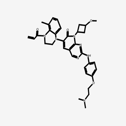 C=CC(=O)N1CCN(c2cc3cnc(Nc4ccc(OCCN(C)C)cc4)nc3n(C3CC(OC)C3)c2=O)c2cccc(C)c21